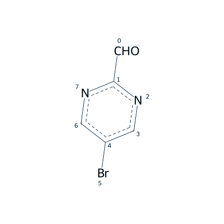 O=Cc1ncc(Br)cn1